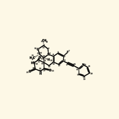 C[C@@H]1CN2c3cc(F)c(C#Cc4cnccn4)cc3CC3(C(=O)NC(=O)NC3=O)[C@H]2[C@H](C)O1